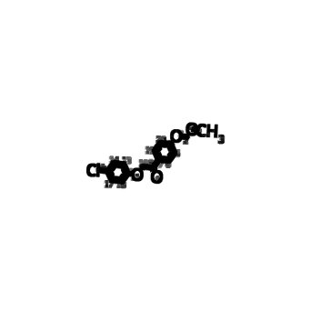 COCOc1ccc(C(=O)COc2ccc(Cl)cc2)cc1